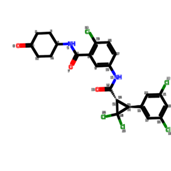 O=C1CCC(NC(=O)c2cc(NC(=O)[C@@H]3[C@@H](c4cc(Cl)cc(Cl)c4)C3(Cl)Cl)ccc2Cl)CC1